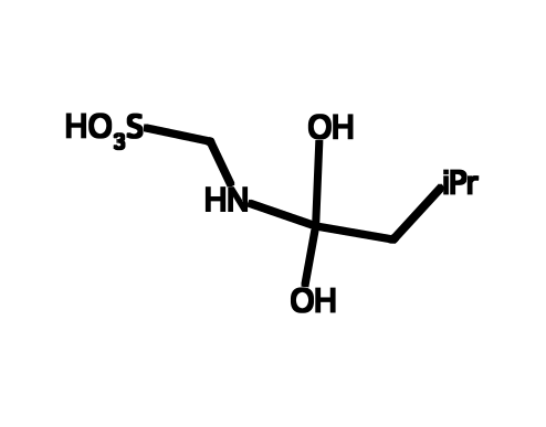 CC(C)CC(O)(O)NCS(=O)(=O)O